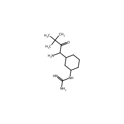 CC(C)(C)C(=O)C(N)C1CCCC(NC(=N)N)C1